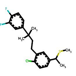 CSC(C)c1ccc(Cl)c(CCC(C)(C)c2ccc(F)c(F)c2)c1